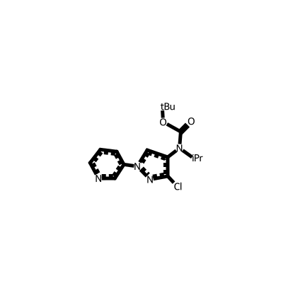 CC(C)N(C(=O)OC(C)(C)C)c1cn(-c2cccnc2)nc1Cl